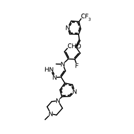 CN1CCN(c2cncc(/C(=C/N(C)C(=C/C=O)/C(F)=C\C=C\c3cncc(C(F)(F)F)c3)N=N)c2)CC1